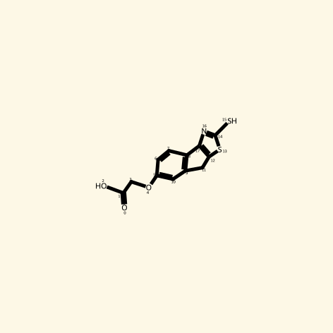 O=C(O)COc1ccc2c(c1)Cc1sc(S)nc1-2